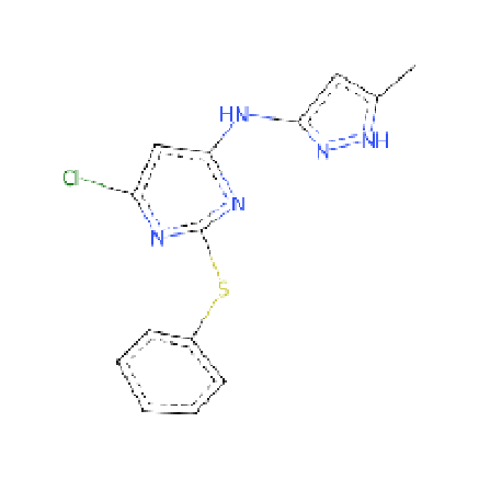 Cc1cc(Nc2cc(Cl)nc(Sc3ccccc3)n2)n[nH]1